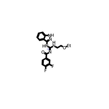 CCOCCN/C(=N/C(=O)c1ccc(F)c(F)c1)Nc1n[nH]c2ccccc12